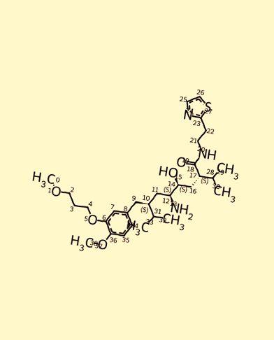 COCCCOc1cc(C[C@@H](C[C@H](N)[C@@H](O)C[C@H](C(=O)NCCc2nccs2)C(C)C)C(C)C)ccc1OC